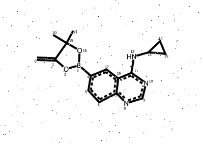 C=C1OB(c2ccc3ncnc(NC4CC4)c3c2)OC1(C)C